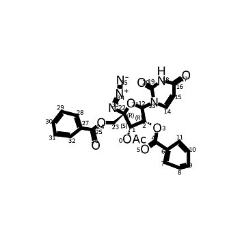 CC(=O)O[C@H]1[C@@H](OC(=O)c2ccccc2)C(n2ccc(=O)[nH]c2=O)O[C@@]1(COC(=O)c1ccccc1)N=[N+]=[N-]